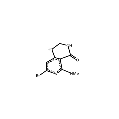 CCc1cc2c(c(NC)n1)C(=O)NCN2